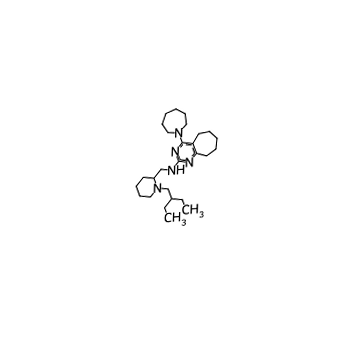 CCC(CC)CN1CCCCC1CNc1nc2c(c(N3CCCCCC3)n1)CCCCC2